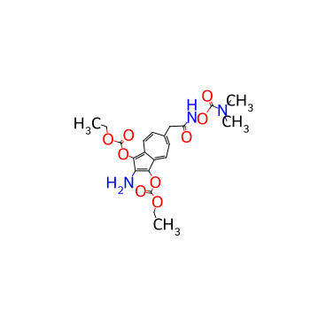 CCOC(=O)Oc1c2ccc(CC(=O)NOC(=O)N(C)C)ccc-2c(OC(=O)OCC)c1N